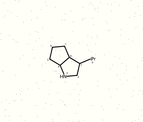 CC(C)C1CNC2CCCC21